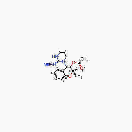 CC(=O)OC1C(N2CCCNC2=NC#N)c2ccccc2OC1(C)C